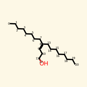 CCCCCCCCC(=CCCO)CCCCCCCC